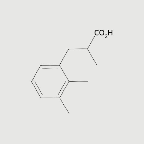 Cc1cccc(CC(C)C(=O)O)c1C